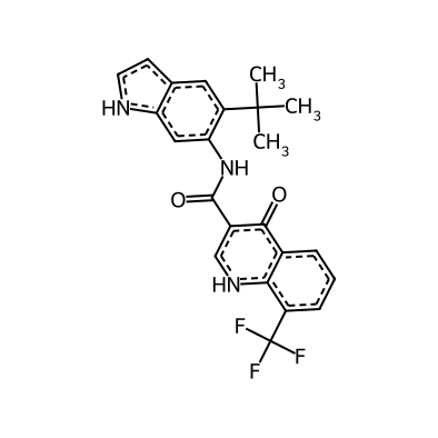 CC(C)(C)c1cc2cc[nH]c2cc1NC(=O)c1c[nH]c2c(C(F)(F)F)cccc2c1=O